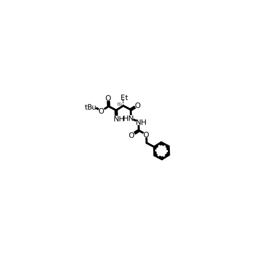 CC[C@@H](C(=N)C(=O)OC(C)(C)C)C(=O)NNC(=O)OCc1ccccc1